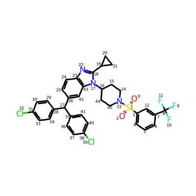 O=S(=O)(c1cccc(C(F)(F)F)c1)N1CCC(n2c(C3CC3)nc3ccc(C(c4ccc(Cl)cc4)c4ccc(Cl)cc4)cc32)CC1